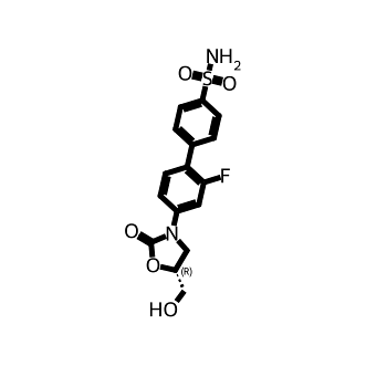 NS(=O)(=O)c1ccc(-c2ccc(N3C[C@H](CO)OC3=O)cc2F)cc1